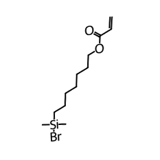 C=CC(=O)OCCCCCCC[Si](C)(C)Br